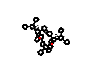 c1ccc(-c2cc(-c3ccccc3)c3oc4c(-c5ccc6c7cccc(-c8cc(-c9ccccc9)cc9c8oc8c(-c%10ccccc%10)cc(-c%10ccccc%10)cc89)c7n(-c7cccc(-c8ccc9c(-c%10ccccc%10)c%10ccccc%10c(-c%10ccccc%10)c9c8)c7)c6c5)cc(-c5ccccc5)cc4c3c2)cc1